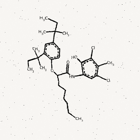 CCCCCCC(Oc1ccc(C(C)(C)CC)cc1C(C)(C)CC)C(=O)Nc1cc(Cl)c(C)c(Cl)c1O